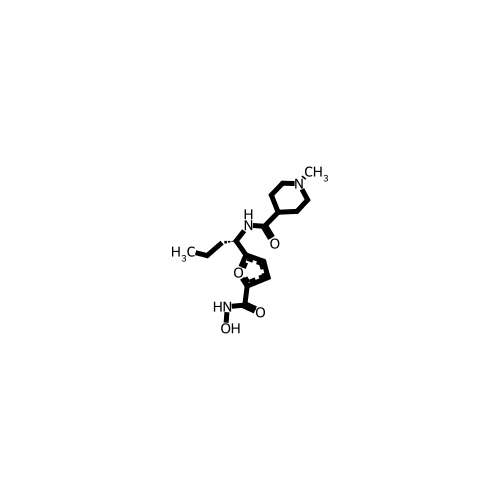 CCC[C@H](NC(=O)C1CCN(C)CC1)c1ccc(C(=O)NO)o1